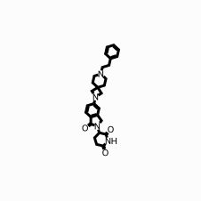 O=C1CCC(N2Cc3cc(N4CC5(CCN(CCc6ccccc6)CC5)C4)ccc3C2=O)C(=O)N1